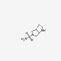 NS(=O)(=O)N1CC2CCNC2C1